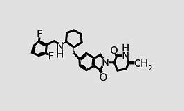 C=C1CCC(N2Cc3cc(C[C@H]4CCCC[C@@H]4NCc4c(F)cccc4F)ccc3C2=O)C(=O)N1